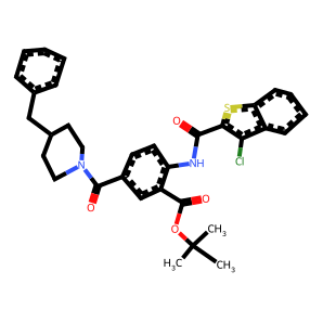 CC(C)(C)OC(=O)c1cc(C(=O)N2CCC(Cc3ccccc3)CC2)ccc1NC(=O)c1sc2ccccc2c1Cl